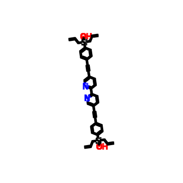 C=CC[Si](O)(CC=C)c1ccc(C#Cc2ccc(-c3ccc(C#Cc4ccc([Si](O)(CC=C)CC=C)cc4)cn3)nc2)cc1